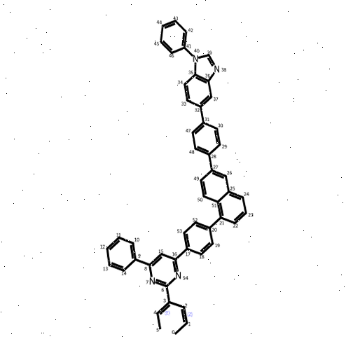 C/C=C\C(=C/C)c1nc(-c2ccccc2)cc(-c2ccc(-c3cccc4cc(-c5ccc(-c6ccc7c(c6)ncn7-c6ccccc6)cc5)ccc34)cc2)n1